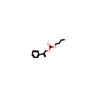 C=C(COC(=O)OCCCC)c1ccccc1